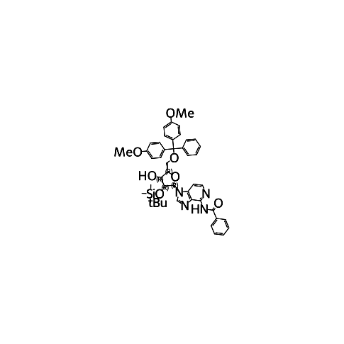 COc1ccc(C(OC[C@H]2O[C@@H](n3cnc4c(NC(=O)c5ccccc5)nccc43)[C@H](O[Si](C)(C)C(C)(C)C)[C@@H]2O)(c2ccccc2)c2ccc(OC)cc2)cc1